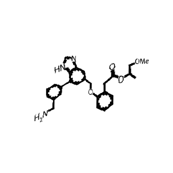 COCC(C)OC(=O)Cc1ccccc1OCc1cc(-c2cccc(CN)c2)c2[nH]cnc2c1